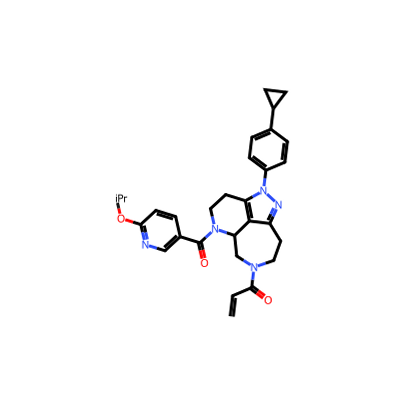 C=CC(=O)N1CCc2nn(-c3ccc(C4CC4)cc3)c3c2C(C1)N(C(=O)c1ccc(OC(C)C)nc1)CC3